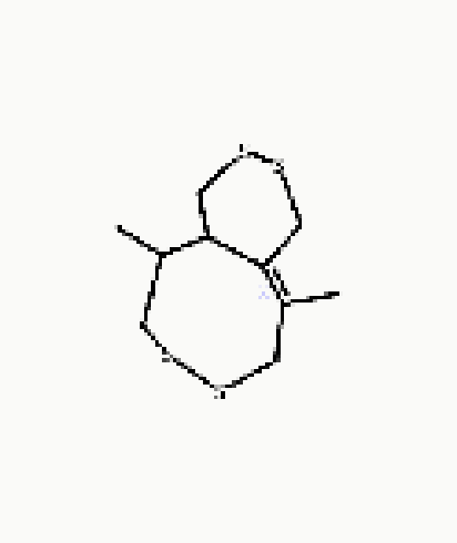 C/C1=C2\CSSCC2C(C)CSSC1